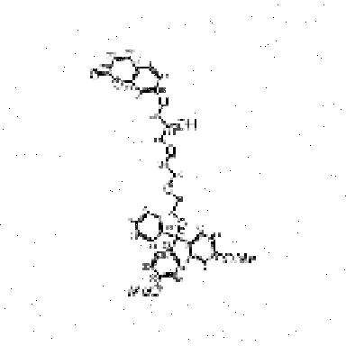 COc1ccc(C(OCCOCCOCC(O)COc2ccc3ccc(=O)oc3c2)(c2ccccc2)c2ccc(OC)cc2)cc1